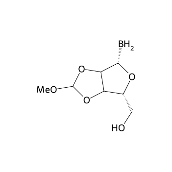 B[C@@H]1O[C@H](CO)C2OC(OC)OC21